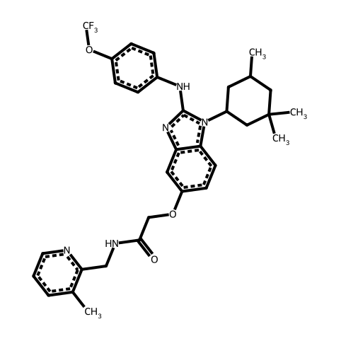 Cc1cccnc1CNC(=O)COc1ccc2c(c1)nc(Nc1ccc(OC(F)(F)F)cc1)n2C1CC(C)CC(C)(C)C1